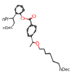 CCCCCCCCCCCCCCCCOC(C)c1ccc(C(=O)Oc2ccccc2C(CCC)CCCCCCCCCCC)cc1